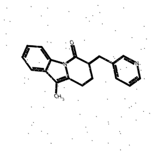 Cc1c2n(c3ccccc13)C(=O)C(Cc1cccnc1)CC2